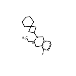 CC[C@@H]1Cc2c(F)cccc2CN1C1CC2(CCCCC2)C1